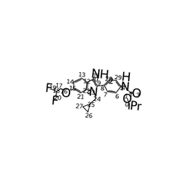 CC(C)OC(=O)Nc1ccc(-c2c(N)c3ccc(OCC(F)F)cc3n2CC2CC2)cc1